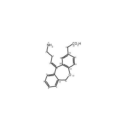 NCC/C=C1/c2ccccc2COc2ccc(CC(=O)O)cc21